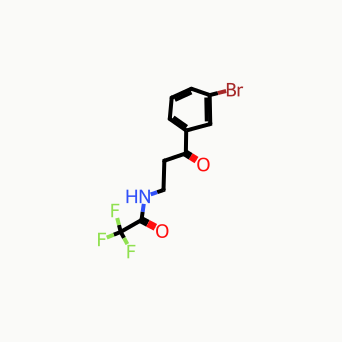 O=C(CCNC(=O)C(F)(F)F)c1cccc(Br)c1